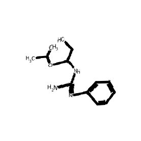 CC(C)OC(CO)NC(N)=Nc1ccccc1